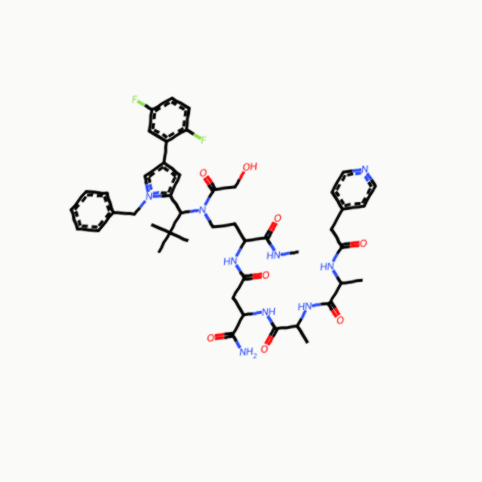 CNC(=O)C(CCN(C(=O)CO)C(c1cc(-c2cc(F)ccc2F)cn1Cc1ccccc1)C(C)(C)C)NC(=O)CC(NC(=O)C(C)NC(=O)C(C)NC(=O)Cc1ccncc1)C(N)=O